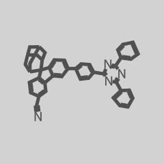 N#Cc1ccc2c(c1)-c1cc(-c3ccc(-c4nc(-c5ccccc5)nc(-c5ccccc5)n4)cc3)ccc1C21C2CC3CC(C2)CC1C3